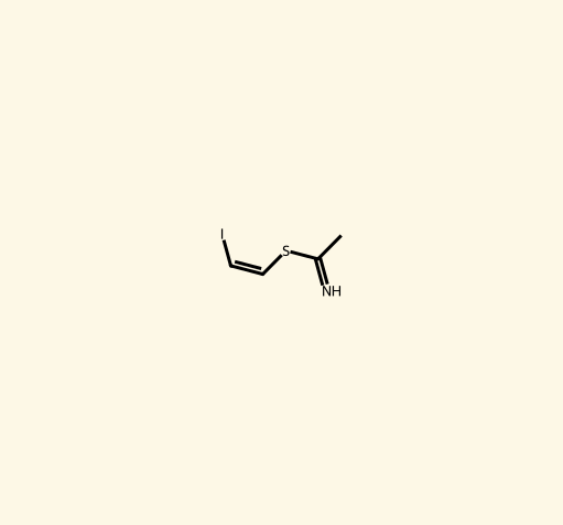 CC(=N)S/C=C\I